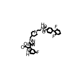 CC(C)COC(=O)c1[nH]c2ccc(F)cc2c1-c1cn(CC2CCN(CCNS(=O)(=O)c3ccc(-c4c(F)cccc4F)cc3)CC2)nn1